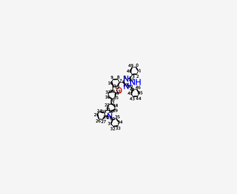 c1ccc(C2=NC(c3cccc4c3oc3cc(-c5ccc6c(c5)c5ccccc5n6-c5ccccc5)ccc34)=NC(c3ccccc3)N2)cc1